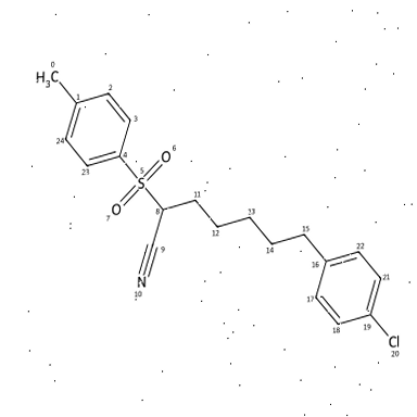 Cc1ccc(S(=O)(=O)C(C#N)CCCCCc2ccc(Cl)cc2)cc1